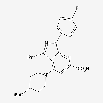 CC(C)COC1CCN(c2cc(C(=O)O)nc3c2c(C(C)C)nn3-c2ccc(F)cc2)CC1